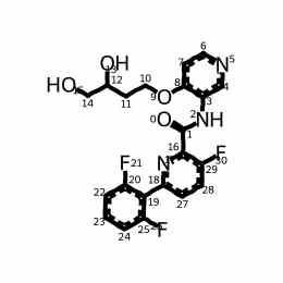 O=C(Nc1cnccc1OCCC(O)CO)c1nc(-c2c(F)cccc2F)ccc1F